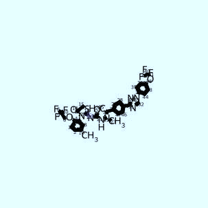 Cc1ccc(OCC(F)(F)F)c(N2C(=O)CS/C2=N\C(=O)NN(C)C(C)c2ccc(-c3ncn(-c4ccc(OC(F)(F)F)cc4)n3)cc2)c1